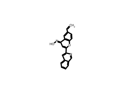 C=Cc1ccc2oc(-c3cc4ccccc4cn3)c/c(=N\O)c2c1